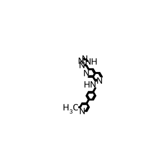 Cc1cc(-c2ccc(CNc3nccc4cc(-c5nnn[nH]5)ncc34)cc2)ccn1